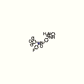 COc1cc(/C=C(/C(=O)NCc2ccc(C(=O)Nc3ccccc3N)cc2)c2ccc(F)cc2)cc(OC)c1OC